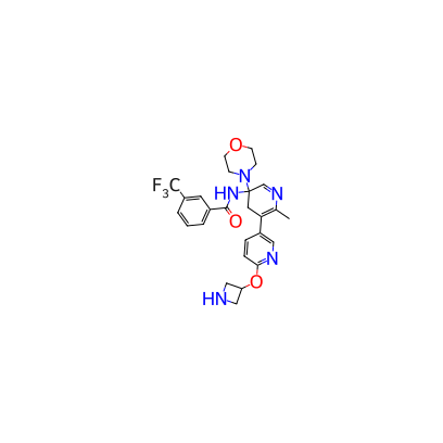 CC1=C(c2ccc(OC3CNC3)nc2)CC(NC(=O)c2cccc(C(F)(F)F)c2)(N2CCOCC2)C=N1